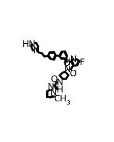 Cc1cccc2nc(C(=O)N[C@H]3CC[C@H](NC(=O)c4cc(F)cnc4Oc4cccc(-c5ccc(CCCN6CCNCC6)cc5)c4)CC3)cn12